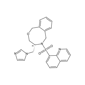 O=S(=O)(c1cccc2cccnc12)N1Cc2ccccc2COC[C@H]1Cn1ccnc1